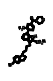 O=C(O)c1[nH]c2c(-c3ccc(C(=O)N4CCOCC4)cc3C(F)(F)F)cccc2c1CCCCN1CCc2cc(Br)ccc21